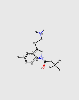 CC(=O)C(C)(C)CC(=O)n1cc(CCN(C)C)c2cc(C)ccc21